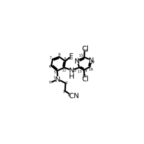 CN(CCC#N)c1cccc(F)c1Nc1nc(Cl)ncc1Cl